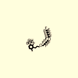 Cc1ccc(S(=O)(=O)O)c(F)c1CCCOCC(F)(F)C(F)(F)C(F)(F)OC(F)(F)C(F)(F)C(F)(F)C(F)(F)F